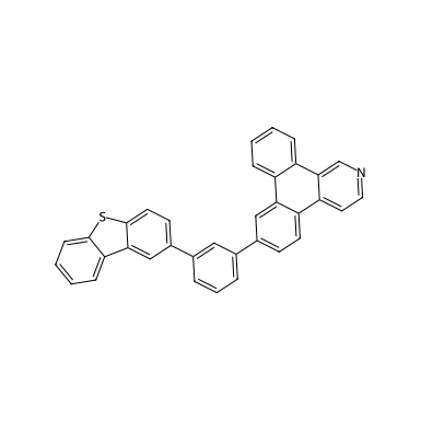 c1cc(-c2ccc3sc4ccccc4c3c2)cc(-c2ccc3c4ccncc4c4ccccc4c3c2)c1